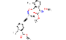 CO/N=C(/C(=O)OC)c1cccc(C)c1CO/N=C(\C)C#Cc1ccc(C)c(C(=O)OC)c1